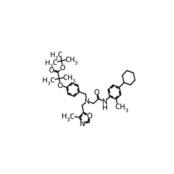 Cc1cc(C2CCCCC2)ccc1NC(=O)CN(Cc1ccc(OC(C)(C)C(=O)OC(C)(C)C)cc1)Cc1ocnc1C